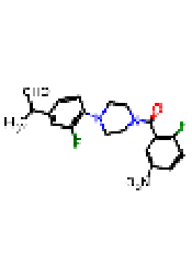 CC(C=O)c1ccc(N2CCN(C(=O)c3cc([N+](=O)[O-])ccc3F)CC2)c(F)c1